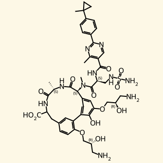 Cc1nc(-c2ccc(C3(C)CC3)cc2)ncc1C(=O)N[C@@H](CNS(N)(=O)=O)C(=O)N(C)[C@@H]1C(=O)N[C@@H](C)C(=O)NC(C(=O)O)Cc2ccc(OC[C@H](O)CN)c(c2)-c2cc1cc(OC[C@H](O)CN)c2O